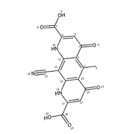 Cc1c2c(=O)cc(C(=O)O)[nH]c2c(C#N)c2[nH]c(C(=O)O)cc(=O)c12